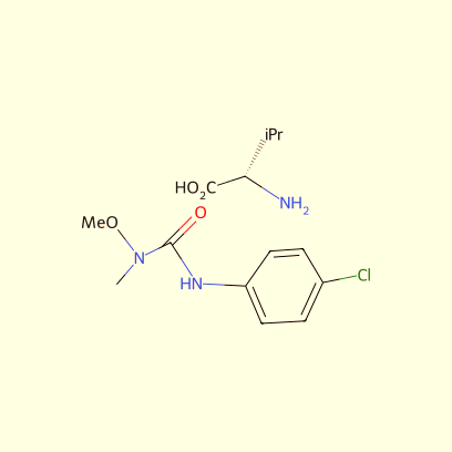 CC(C)[C@H](N)C(=O)O.CON(C)C(=O)Nc1ccc(Cl)cc1